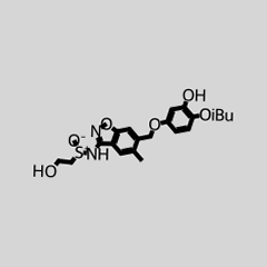 Cc1cc2c(N[S+]([O-])CCO)noc2cc1COc1ccc(OCC(C)C)c(O)c1